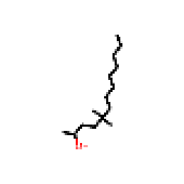 CCCCCCCCC(C)(C)CCC(C)O